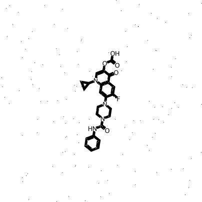 O=C(O)Oc1cn(C2CC2)c2cc(N3CCN(C(=O)Nc4ccccc4)CC3)c(F)cc2c1=O